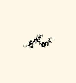 CC(C)(C)OC(=O)NCc1cccc(OCC2OC(n3ccc4c(N)ncnc43)CC2(C)OC(C)(C)O)c1